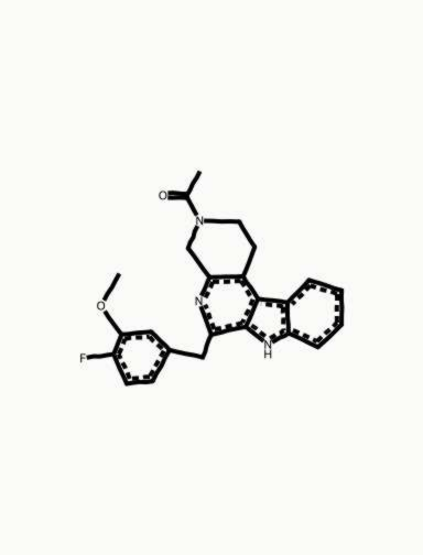 COc1cc(Cc2nc3c(c4c2[nH]c2ccccc24)CCN(C(C)=O)C3)ccc1F